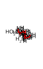 CC(C)C[C@H](NC(=O)CNC(=O)[C@H](CC(C)C)NC(=O)[C@H](CCC(N)=O)NC(=O)CNC(=O)[C@@H]1C[C@@H](O)CN1)C(=O)N[C@@H](C)C(=O)NCC(=O)N1CCC[C@H]1C(=O)N[C@@H](CCCCN)C(=O)O